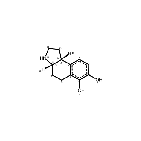 Oc1ccc2c(c1O)CC[C@@H]1NCC[C@H]21